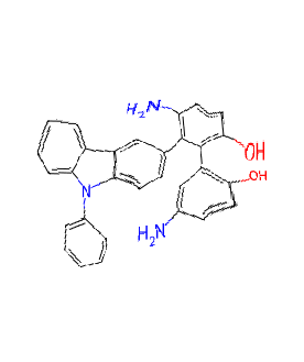 Nc1ccc(O)c(-c2c(O)ccc(N)c2-c2ccc3c(c2)c2ccccc2n3-c2ccccc2)c1